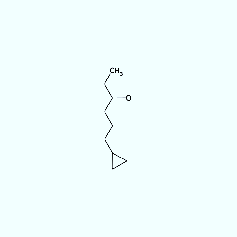 CCC([O])CCCC1CC1